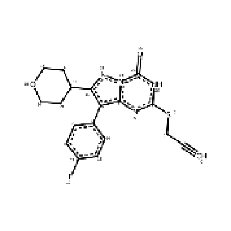 C#CCSc1nc2c(-c3ccc(F)cc3)c(C3CCOCC3)nn2c(=O)[nH]1